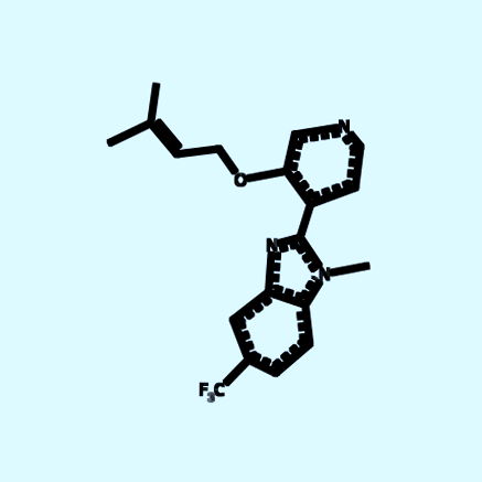 CC(C)=CCOc1cnccc1-c1nc2cc(C(F)(F)F)ccc2n1C